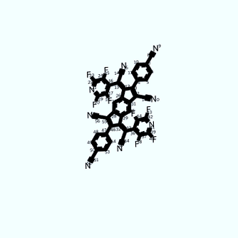 N#CC1=C(c2ccc(C#N)cc2)/C(=C(\C#N)c2c(F)c(F)nc(F)c2F)c2cc3c(cc21)/C(=C(/C#N)c1c(F)c(F)nc(F)c1F)C(c1ccc(C#N)cc1)=C3C#N